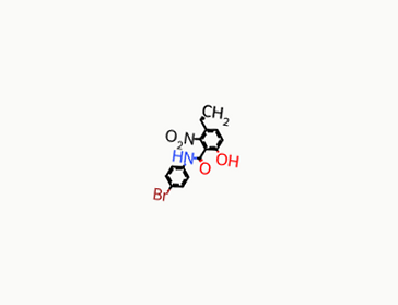 C=Cc1ccc(O)c(C(=O)Nc2ccc(Br)cc2)c1[N+](=O)[O-]